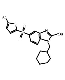 CC(=O)c1ccc(S(=O)(=O)c2ccc3c(c2)nc(C(C)(C)C)n3CC2CCCCC2)s1